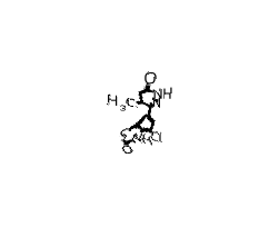 CC1CC(=O)NN=C1c1cc(Cl)c2[nH]c(=O)sc2c1